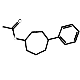 CC(=O)OC1CCCC(c2ccccc2)CC1